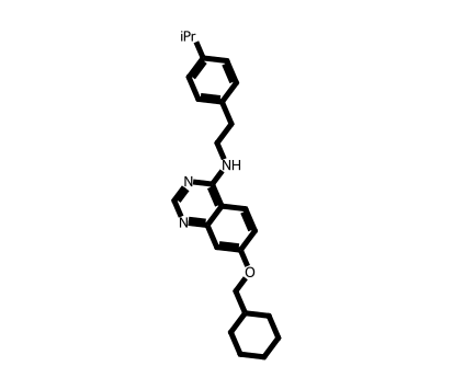 CC(C)c1ccc(CCNc2ncnc3cc(OCC4CCCCC4)ccc23)cc1